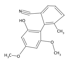 COc1cc(O)c(-c2c(C)cccc2C#N)c(OC)c1